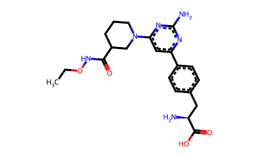 CCONC(=O)C1CCCN(c2cc(-c3ccc(C[C@H](N)C(=O)O)cc3)nc(N)n2)C1